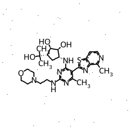 Cc1nc(NCCN2CCOCC2)nc(N[C@@H]2C[C@H](C(C)(C)O)[C@@H](O)[C@H]2O)c1-c1nc2c(C)nccc2s1